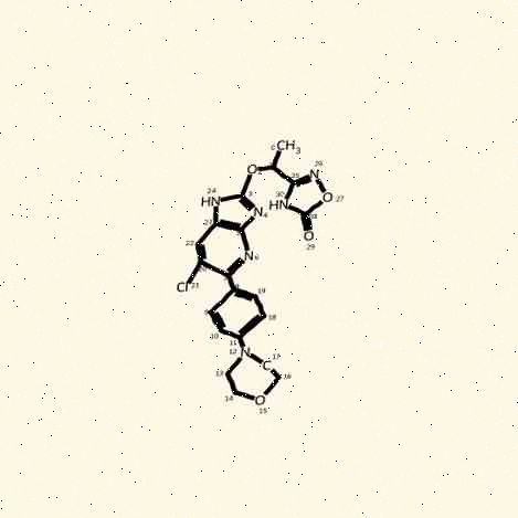 CC(Oc1nc2nc(-c3ccc(N4CCOCC4)cc3)c(Cl)cc2[nH]1)c1noc(=O)[nH]1